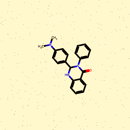 CN(C)c1ccc(C2Nc3ccccc3C(=O)N2c2ccccc2)cc1